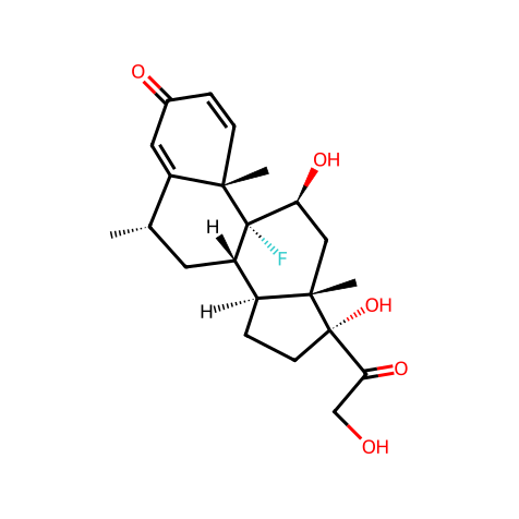 C[C@H]1C[C@H]2[C@@H]3CC[C@](O)(C(=O)CO)[C@@]3(C)C[C@H](O)[C@]2(F)[C@@]2(C)C=CC(=O)C=C12